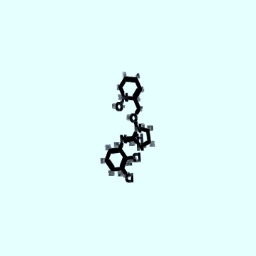 [O]N1CC=CC=C1CON1CCNC1=Nc1cccc(Cl)c1Cl